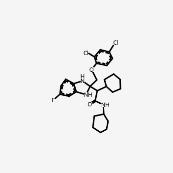 O=C(NC1CCCCC1)C(C1CCCCC1)C1(COc2ccc(Cl)cc2Cl)Nc2ccc(F)cc2N1